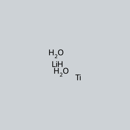 O.O.[LiH].[Ti]